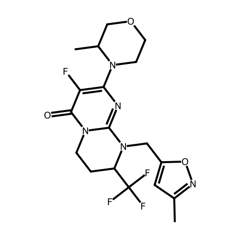 Cc1cc(CN2c3nc(N4CCOCC4C)c(F)c(=O)n3CCC2C(F)(F)F)on1